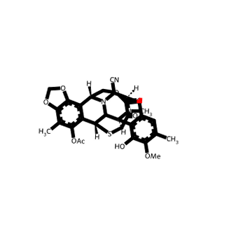 COc1c(C)cc2c(c1O)[C@H]1C3[C@@H]4SCC(=O)C(=O)OC[C@@H](c5c6c(c(C)c(OC(C)=O)c54)OCO6)N3C(C#N)[C@@H](C2)N1C